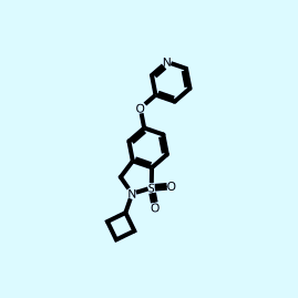 O=S1(=O)c2ccc(Oc3cccnc3)cc2CN1C1CCC1